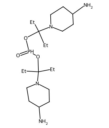 CCC(CC)(O[PH](=O)OC(CC)(CC)N1CCC(N)CC1)N1CCC(N)CC1